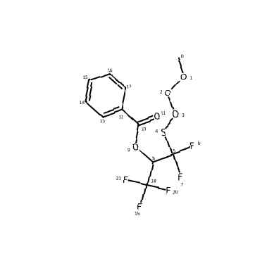 COOOSC(F)(F)C(OC(=O)c1ccccc1)C(F)(F)F